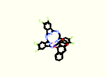 Fc1cc2c(cc1F)/C1=N/c3c4cc(F)c(F)cc4c4n3B(Oc3c5ccccc5cc5ccccc35)n3c(c5cc(F)c(F)cc5c3=N4)=C=NC2=N1